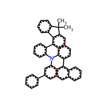 CC1(C)c2ccccc2-c2c(-c3ccccc3N(c3cccc(-c4ccccc4)c3)c3ccccc3-c3cccc4ccccc34)cccc21